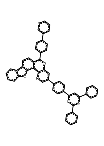 c1ccc(-c2cc(-c3ccc(-c4cnc5c(c4)nc(-c4ccc(-c6cccnc6)cc4)c4ccc6c7ccccc7oc6c45)cc3)nc(-c3ccccc3)n2)cc1